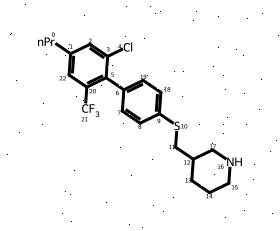 CCCc1cc(Cl)c(-c2ccc(SCC3CCCNC3)cc2)c(C(F)(F)F)c1